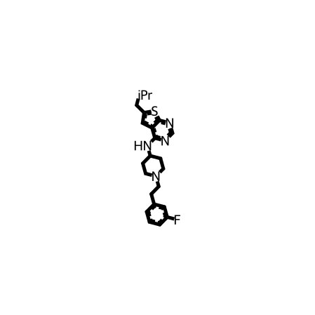 CC(C)Cc1cc2c(NC3CCN(CCc4cccc(F)c4)CC3)ncnc2s1